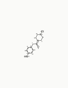 CCN1CCN(C(=O)Cc2ccc([NH])cc2)CC1